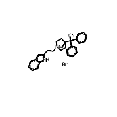 N#CC(c1ccccc1)(c1ccccc1)C12CC[N+](CCc3cc4ccccc4[nH]3)(CC1)C2.[Br-]